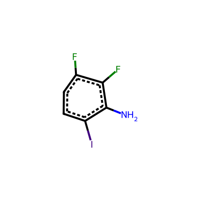 Nc1c(I)ccc(F)c1F